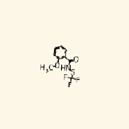 COc1ccccc1C(=O)NSC(F)(F)F